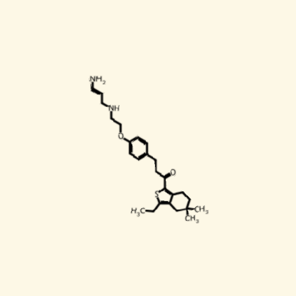 CCc1sc(C(=O)CCc2ccc(OCCNCC=CN)cc2)c2c1CC(C)(C)CC2